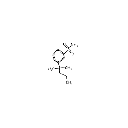 CCCC(C)(C)c1cccc(S(N)(=O)=O)c1